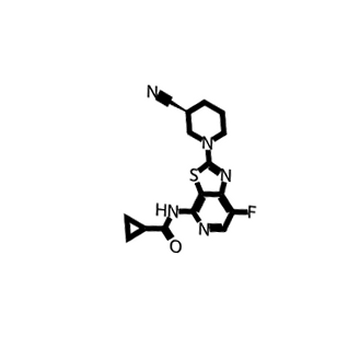 N#C[C@H]1CCCN(c2nc3c(F)cnc(NC(=O)C4CC4)c3s2)C1